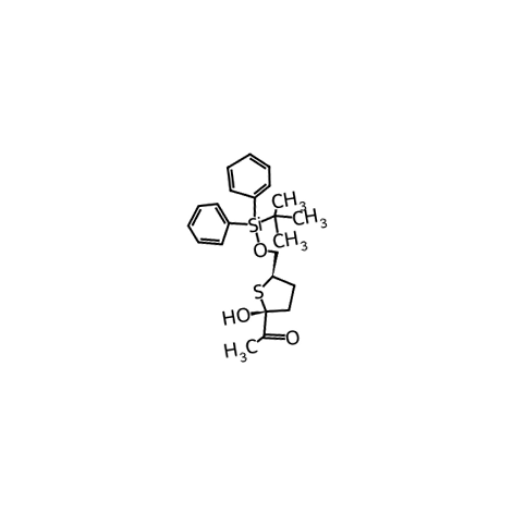 CC(=O)[C@@]1(O)CC[C@H](CO[Si](c2ccccc2)(c2ccccc2)C(C)(C)C)S1